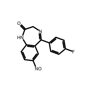 O=Nc1ccc2c(c1)C(c1ccc(F)cc1)=NCC(=O)N2